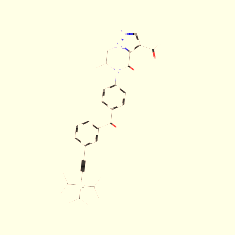 CC1Cn2ncc(C(=O)O)c2C(=O)N1c1ccc(C(=O)c2cccc(C#C[Si](C(C)C)(C(C)C)C(C)C)c2)cc1